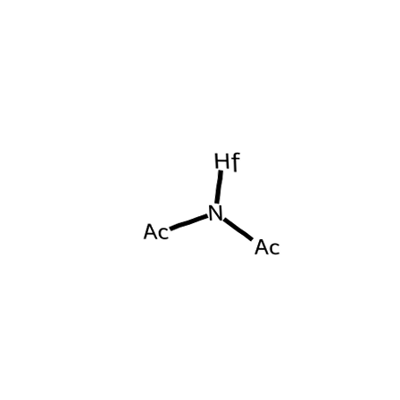 CC(=O)[N]([Hf])C(C)=O